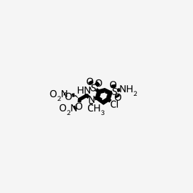 CN1c2cc(Cl)c(S(N)(=O)=O)cc2S(=O)(=O)NC1[C@@H](CO[N+](=O)[O-])O[N+](=O)[O-]